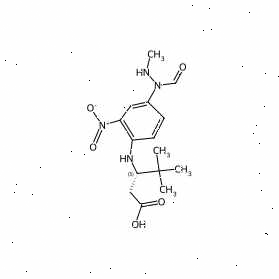 CNN(C=O)c1ccc(N[C@@H](CC(=O)O)C(C)(C)C)c([N+](=O)[O-])c1